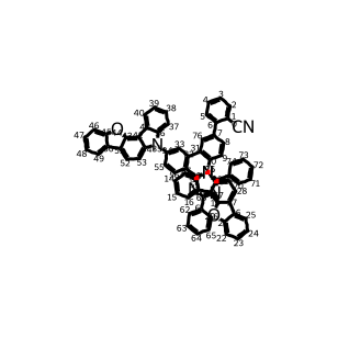 N#Cc1ccccc1-c1ccc(-n2c3ccccc3c3c4oc5ccccc5c4ccc32)c(-c2cc(-n3c4ccccc4c4c5oc6ccccc6c5ccc43)ccc2-c2nc(-c3ccccc3)nc(-c3ccccc3)n2)c1